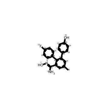 Cc1cc(C(N)=NO)c(-c2ccc(F)cc2)c(-c2ccc(O)cc2)c1